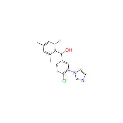 Cc1cc(C)c(C(O)c2ccc(Cl)c(-n3ccnc3)c2)c(C)c1